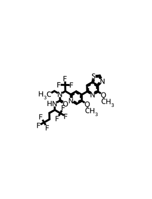 CCN(C(=O)NC(CCC(F)(F)F)C(F)(F)F)C(c1cc(-c2cc3scnc3c(OC)n2)c(OC)cn1)C(F)(F)F